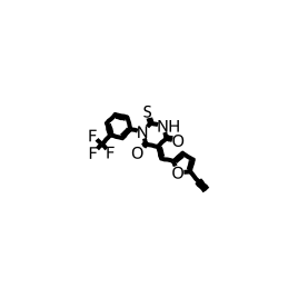 C#Cc1ccc(/C=C2\C(=O)NC(=S)N(c3cccc(C(F)(F)F)c3)C2=O)o1